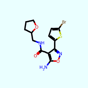 Nc1onc(-c2ccc(Br)s2)c1C(=O)NCC1CCCO1